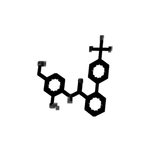 Cc1cc(CO)ccc1NC(=O)c1ccccc1-c1ccc(C(F)(F)F)cc1